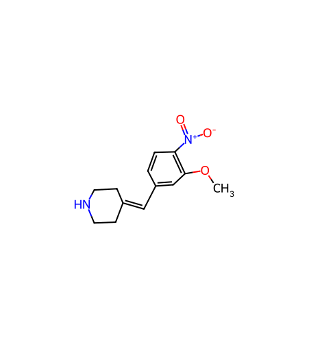 COc1cc(C=C2CCNCC2)ccc1[N+](=O)[O-]